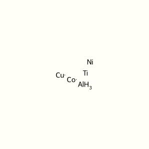 [AlH3].[Co].[Cu].[Ni].[Ti]